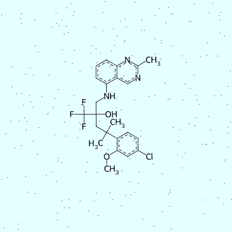 COc1cc(Cl)ccc1C(C)(C)CC(O)(CNc1cccc2nc(C)ncc12)C(F)(F)F